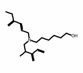 C=CC(=C)C(C)CN(C/C=C/C(=C)CC)CCCCCCO